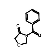 O=C1COCN1C(=O)c1ccccc1